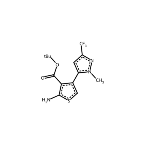 Cn1nc(C(F)(F)F)cc1-c1csc(N)c1C(=O)OC(C)(C)C